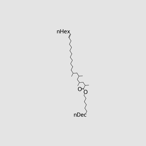 CCCCCC/C=C/CCCCCCCCCCC(C)CC(C)CC(C)CC(C)C(=O)OCCCCCCCCCCCCCCCC